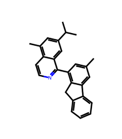 Cc1cc2c(c(-c3nccc4c(C)cc(C(C)C)cc34)c1)Cc1ccccc1-2